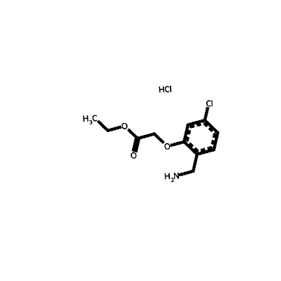 CCOC(=O)COc1cc(Cl)ccc1CN.Cl